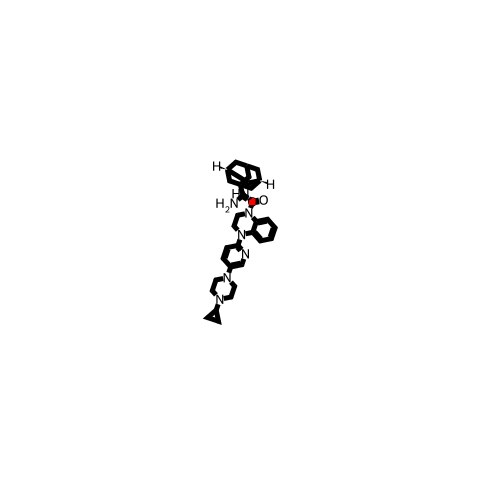 NC(=O)C12CC3C[C@H](C1)C(NC(=O)N1CCN(c4ccc(N5CCN(C6CC6)CC5)cn4)c4ccccc41)[C@@H](C3)C2